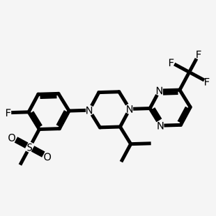 CC(C)C1CN(c2ccc(F)c(S(C)(=O)=O)c2)CCN1c1nccc(C(F)(F)F)n1